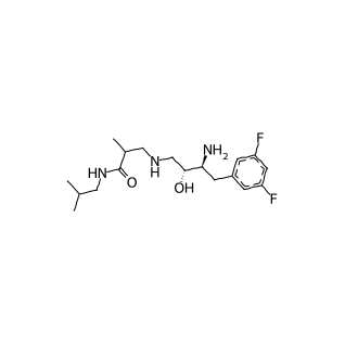 CC(C)CNC(=O)C(C)CNC[C@@H](O)[C@@H](N)Cc1cc(F)cc(F)c1